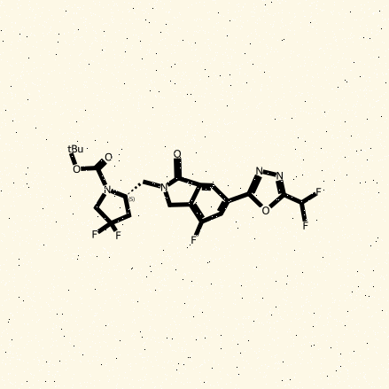 CC(C)(C)OC(=O)N1CC(F)(F)C[C@H]1CN1Cc2c(F)cc(-c3nnc(C(F)F)o3)cc2C1=O